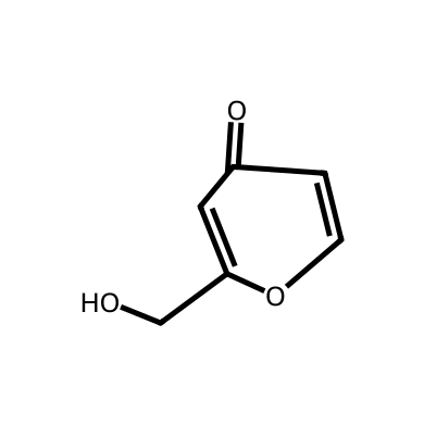 O=c1ccoc(CO)c1